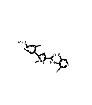 COc1cc(C)c(-c2cc(C(=O)Nc3c(F)cncc3F)nn2C)cn1